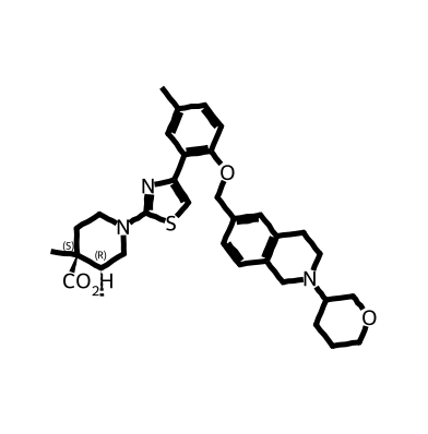 Cc1ccc(OCc2ccc3c(c2)CCN(C2CCCOC2)C3)c(-c2csc(N3CC[C@](C)(C(=O)O)[C@@H](C)C3)n2)c1